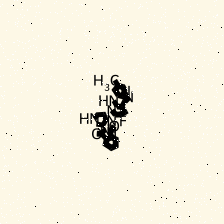 Cc1cncc(Nc2nc(N[C@@H]3CCNC[C@@H]3N3C(=O)c4ccccc4C3=O)c(F)cc2C#N)c1